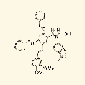 COc1ccc(C=Cc2cc(-c3nnc(O)n3-c3ccc4c(ccn4C)c3)c(OCc3ccccc3)cc2OCc2ccccc2)cc1OC